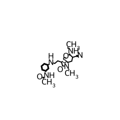 CCNC(=O)C(C#N)CC1SC(CCNc2cccc(NC(C)=O)c2)C(=O)N1CC